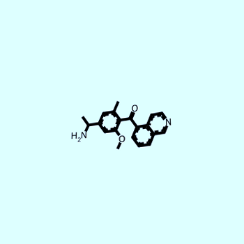 COc1cc(C(C)N)cc(C)c1C(=O)c1cccc2cnccc12